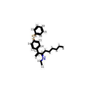 C=C(/C(CCCCCC)=N\CC)c1ccc(Sc2ccccc2)cc1